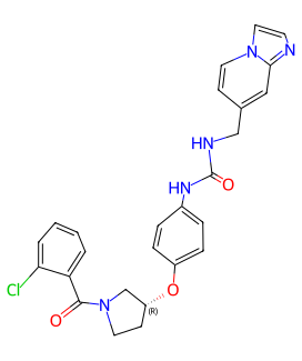 O=C(NCc1ccn2ccnc2c1)Nc1ccc(O[C@@H]2CCN(C(=O)c3ccccc3Cl)C2)cc1